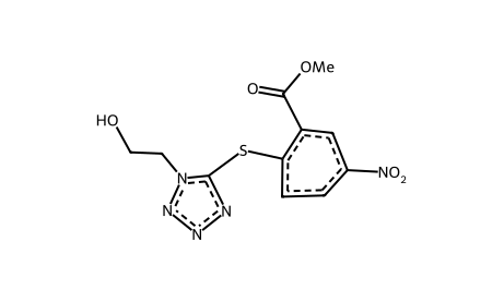 COC(=O)c1cc([N+](=O)[O-])ccc1Sc1nnnn1CCO